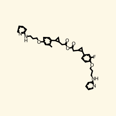 Cc1cc(OCCCNc2ccccn2)ccc1C1CC1CC(=O)OC(=O)CC1CC1c1ccc(OCCCNc2ccccn2)c(F)c1